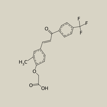 Cc1cc(C=CC(=O)c2ccc(C(F)(F)F)cc2)ccc1OCC(=O)O